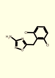 Nc1noc(Cc2c(Cl)cccc2Cl)n1